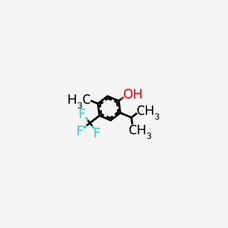 Cc1cc(O)c(C(C)C)cc1C(F)(F)F